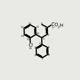 CC(=CC(c1ccccc1)c1ccccc1Cl)C(=O)O